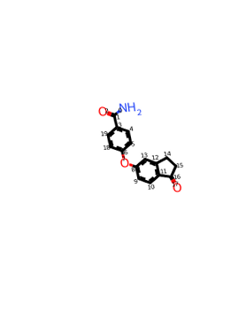 NC(=O)c1ccc(Oc2ccc3c(c2)CCC3=O)cc1